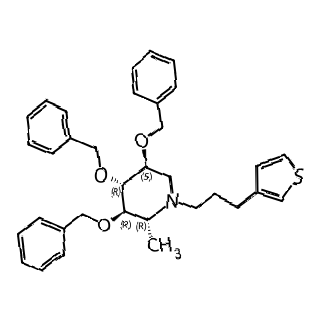 C[C@@H]1[C@@H](OCc2ccccc2)[C@H](OCc2ccccc2)[C@@H](OCc2ccccc2)CN1CCCc1ccsc1